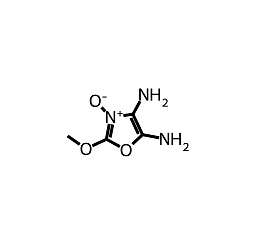 COc1oc(N)c(N)[n+]1[O-]